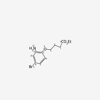 CCOC(=O)CCCOc1ccc(Br)cc1N